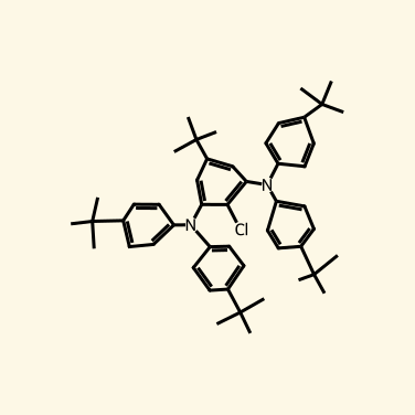 CC(C)(C)c1ccc(N(c2ccc(C(C)(C)C)cc2)c2cc(C(C)(C)C)cc(N(c3ccc(C(C)(C)C)cc3)c3ccc(C(C)(C)C)cc3)c2Cl)cc1